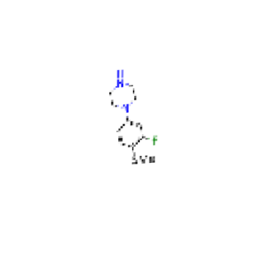 CSc1ccc(N2CCNCC2)cc1F